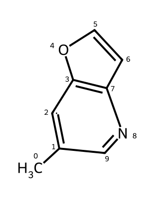 Cc1[c]c2occc2nc1